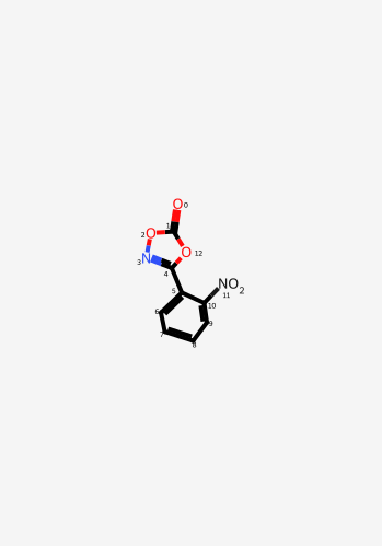 O=c1onc(-c2ccccc2[N+](=O)[O-])o1